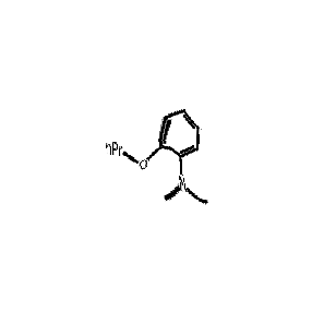 CCCOc1cc[c]cc1N(C)C